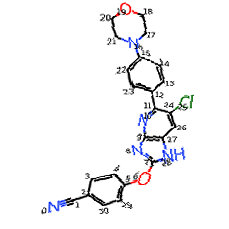 N#Cc1ccc(Oc2nc3nc(-c4ccc(N5CCOCC5)cc4)c(Cl)cc3[nH]2)cc1